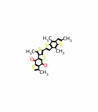 Cc1cc2c(C)c3sc(-c4sc(C)c5c6c(sc45)C(=O)c4c(C)csc4C6=O)cc3c(C)c2s1